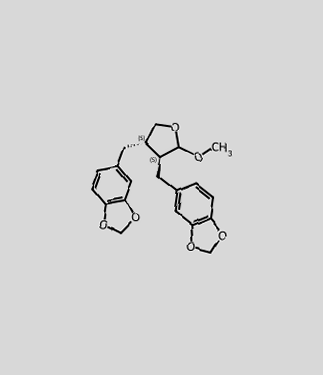 COC1OC[C@@H](Cc2ccc3c(c2)OCO3)[C@@H]1Cc1ccc2c(c1)OCO2